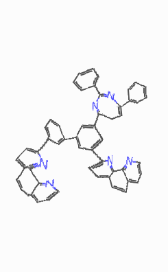 C1=C(c2ccccc2)N=C(c2ccccc2)N=C(c2cc(-c3cccc(-c4ccc5ccc6cccnc6c5n4)c3)cc(-c3ccc4ccc5cccnc5c4n3)c2)C1